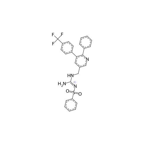 N/C(=N\S(=O)(=O)c1ccccc1)NCc1cnc(-c2ccccc2)c(-c2ccc(C(F)(F)F)cc2)c1